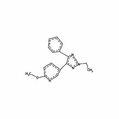 CCn1nc(-c2ccccc2)c(-c2ccc(OC)nc2)n1